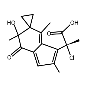 CC1=C([C@@](C)(Cl)C(=O)O)C2=C(C)C3(CC3)C(C)(O)C(=O)C2=C1